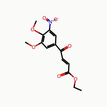 CCOC(=O)/C=C/C(=O)c1cc(OC)c(OC)c([N+](=O)[O-])c1